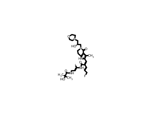 Cc1c(/C=C(/C=C/CF)C(=O)N/C(I)=C/CNC(=O)C(C)(C)O)[nH]c2c1C(=O)N(C[C@@H](O)CN1CCOCC1)CC2